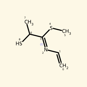 C=C/N=C(\SC)C(C)S